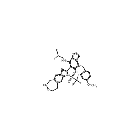 COc1ccc(Cn2c(=O)c(-c3nc4cc5c(cc4n3S(=O)(=O)C(F)(F)F)CCONC5)c(NCC(F)F)c3sccc32)cc1